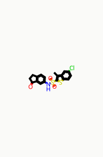 Cc1c(S(=O)(=O)Nc2ccc3c(c2)C(=O)CC3)sc2ccc(Cl)cc12